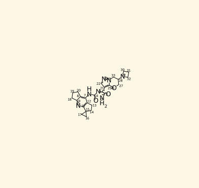 NS(=O)(=NC(=O)Nc1c2c(nc3c1CCC31CC1)CCC2)c1cnn2c1OCC(N1CCC1)C2